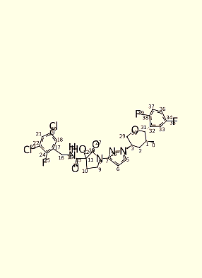 C[C@H]1C[C@@H](n2ccc(N3CCC(O)(C(=O)NCc4cc(Cl)cc(Cl)c4F)C3=O)n2)CO[C@@H]1c1cc(F)ccc1F